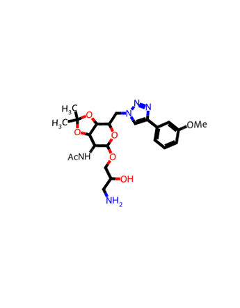 COc1cccc(-c2cn(CC3OC(OCC(O)CN)C(NC(C)=O)C4OC(C)(C)OC34)nn2)c1